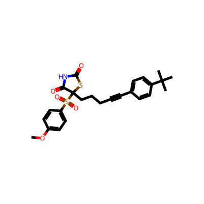 COc1ccc(S(=O)(=O)C2(CCCC#Cc3ccc(C(C)(C)C)cc3)SC(=O)NC2=O)cc1